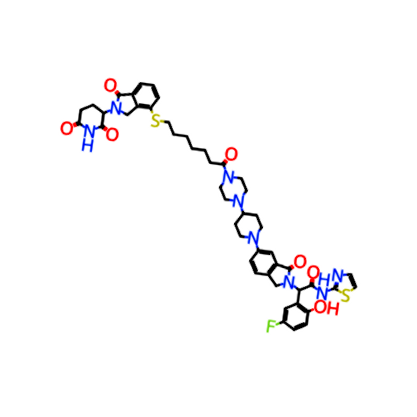 O=C1CCC(N2Cc3c(SCCCCCCC(=O)N4CCN(C5CCN(c6ccc7c(c6)C(=O)N(C(C(=O)Nc6nccs6)c6cc(F)ccc6O)C7)CC5)CC4)cccc3C2=O)C(=O)N1